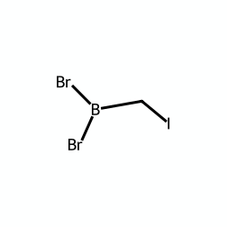 BrB(Br)CI